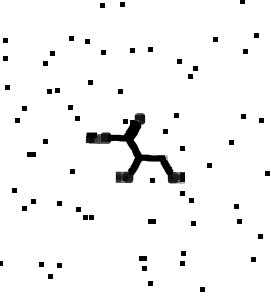 COC(=O)C(O)[CH]O